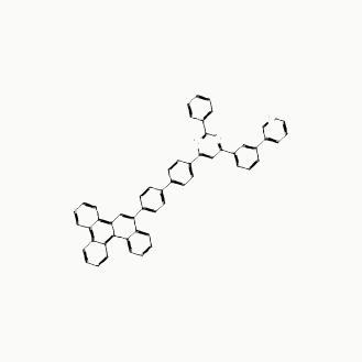 c1ccc(-c2nc(-c3ccc(-c4ccc(-c5cc6c7ccccc7c7ccccc7c6c6ccccc56)cc4)cc3)cc(-c3cccc(-c4cccnc4)c3)n2)cc1